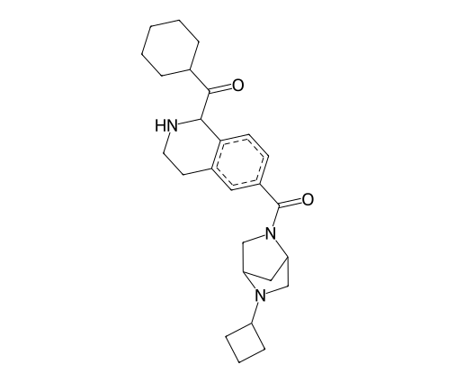 O=C(C1CCCCC1)C1NCCc2cc(C(=O)N3CC4CC3CN4C3CCC3)ccc21